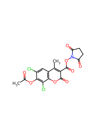 CC(=O)Oc1c(Cl)cc2c(C)c(C(=O)ON3C(=O)CCC3=O)c(=O)oc2c1Cl